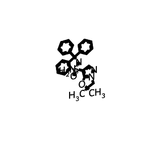 CC1(C)Cn2ncc([S@](N)(=O)=NC(c3ccccc3)(c3ccccc3)c3ccccc3)c2O1